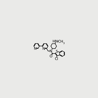 CNC1CCC(N(Cc2cccc(-c3cccnc3)n2)C(=O)c2sc3ccccc3c2Cl)CC1